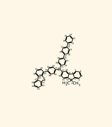 CC1(C)c2ccccc2-c2cc(N(c3ccc(-c4ccc(-c5ccccc5)cc4)cc3)c3ccc(-c4cccc5c4sc4ccccc45)cc3)ccc21